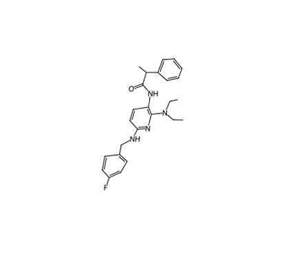 CCN(CC)c1nc(NCc2ccc(F)cc2)ccc1NC(=O)C(C)c1ccccc1